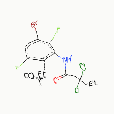 CCOC(=O)c1c(F)cc(Br)c(F)c1NC(=O)C(Cl)(Cl)CC